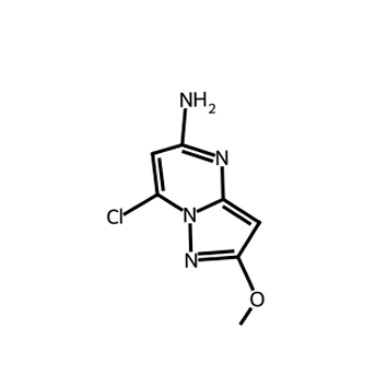 COc1cc2nc(N)cc(Cl)n2n1